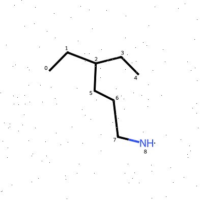 CCC(CC)CCC[NH]